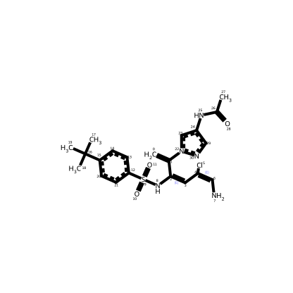 C=C(/C(=C\C(Cl)=C/N)NS(=O)(=O)c1ccc(C(C)(C)C)cc1)n1cc(NC(C)=O)cn1